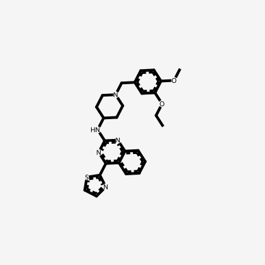 CCOc1cc(CN2CCC(Nc3nc(-c4nccs4)c4ccccc4n3)CC2)ccc1OC